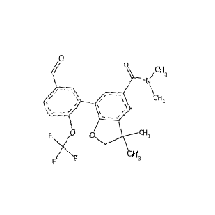 CN(C)C(=O)c1cc(-c2cc(C=O)ccc2OC(F)(F)F)c2c(c1)C(C)(C)CO2